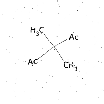 CC(=O)C(C)(C)C(C)=O